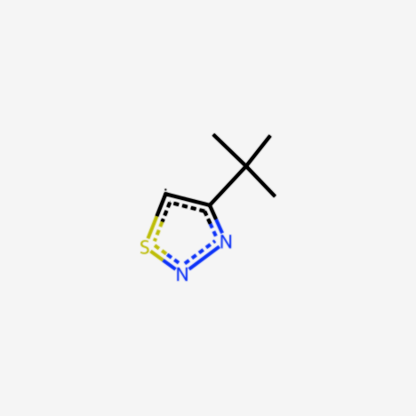 CC(C)(C)c1[c]snn1